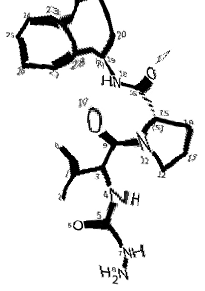 C=C(C)C(NC(=O)NN)C(=O)N1CCC[C@H]1C(=O)N[C@@H]1CCCc2ccccc21